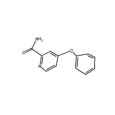 NC(=O)c1cc(Oc2ccccc2)ccn1